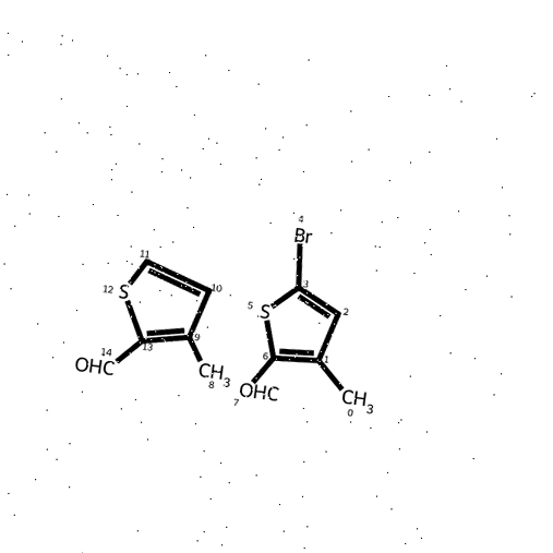 Cc1cc(Br)sc1C=O.Cc1ccsc1C=O